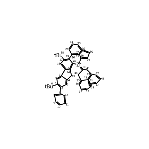 CC(C)(C)c1cc2c(cc1-c1ccccc1)Cc1c-2cc(C(C)(C)C)c(-c2ccccc2)[c]1[Zr]([C]1=CC=CC1)=[C](Cc1ccccc1)Cc1ccccc1